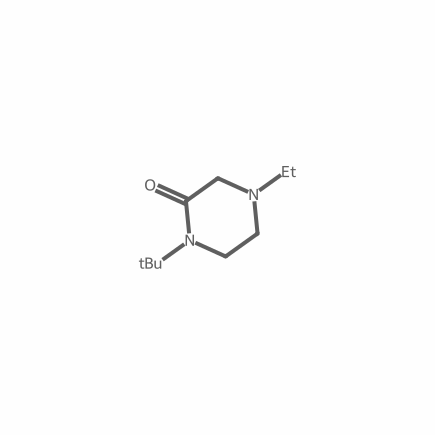 CCN1CCN(C(C)(C)C)C(=O)C1